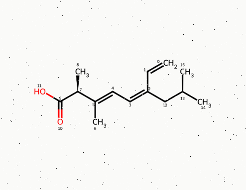 C=C/C(=C\C=C(/C)[C@H](C)C(=O)O)CC(C)C